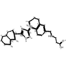 O=C(O)CCNCc1ccc2c(c1)CCCN2c1noc(C2CCC3CCCCC3C2)n1